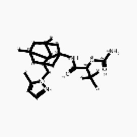 Cc1ccnn1CC12CC3(C)CC(C)(C1)CC(NC(=O)C(OC(N)=O)C(C)(C)C)(C3)C2